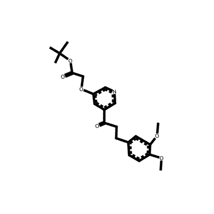 COc1ccc(CCC(=O)c2cncc(OCC(=O)OC(C)(C)C)c2)cc1OC